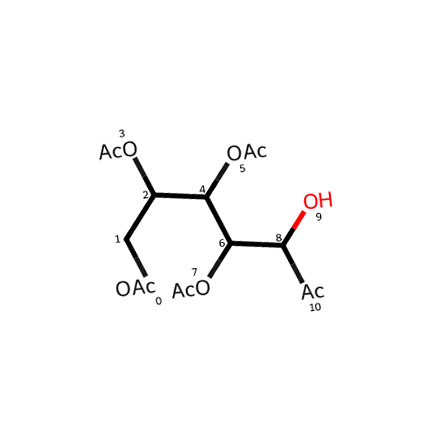 CC(=O)OCC(OC(C)=O)C(OC(C)=O)C(OC(C)=O)C(O)C(C)=O